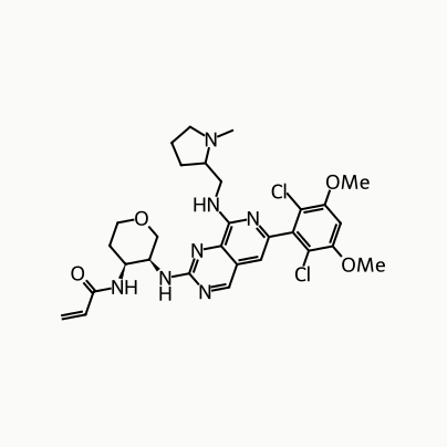 C=CC(=O)N[C@H]1CCOC[C@H]1Nc1ncc2cc(-c3c(Cl)c(OC)cc(OC)c3Cl)nc(NCC3CCCN3C)c2n1